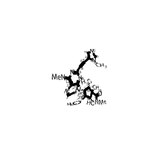 CNC(=O)C1(C)[C@H](C)[C@@H](n2cnc3c(NC)nc(C#Cc4cncn4C)nc32)[C@H](O)[C@@H]1O